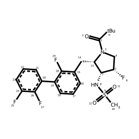 CC(C)(C)C(=O)N1C[C@H](F)[C@H](NS(C)(=O)=O)[C@@H]1Cc1cccc(-c2cccc(F)c2F)c1F